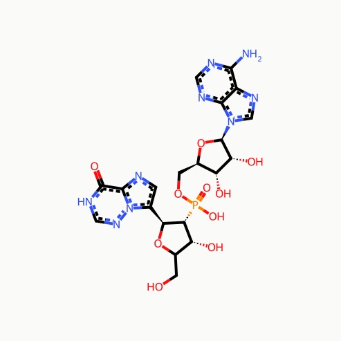 Nc1ncnc2c1ncn2[C@@H]1O[C@H](COP(=O)(O)[C@@H]2[C@H](O)C(CO)O[C@H]2c2cnc3c(=O)[nH]cnn23)[C@@H](O)[C@H]1O